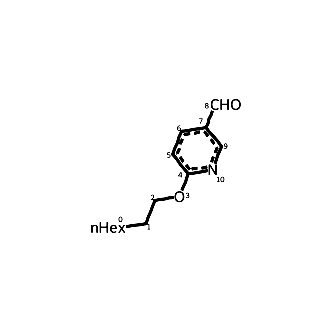 CCCCCCCCOc1ccc(C=O)cn1